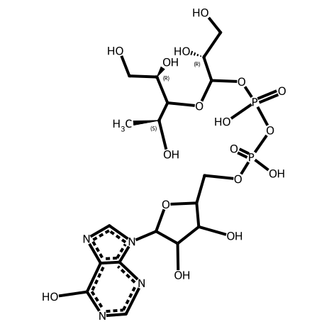 C[C@H](O)C(OC(OP(=O)(O)OP(=O)(O)OCC1OC(n2cnc3c(O)ncnc32)C(O)C1O)[C@H](O)CO)[C@H](O)CO